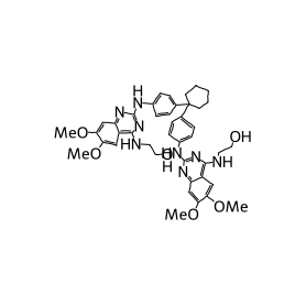 COc1cc2nc(Nc3ccc(C4(c5ccc(Nc6nc(NCCO)c7cc(OC)c(OC)cc7n6)cc5)CCCCC4)cc3)nc(NCCO)c2cc1OC